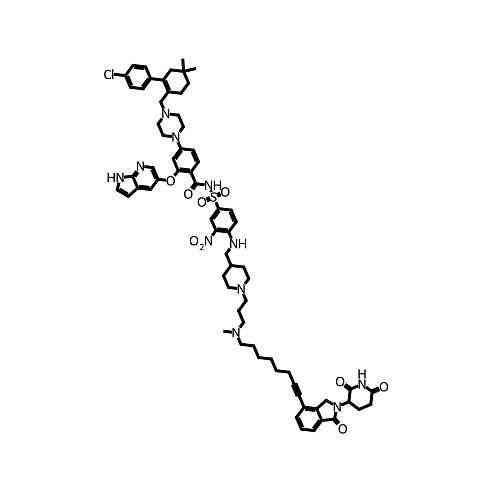 CN(CCCCCCC#Cc1cccc2c1CN(C1CCC(=O)NC1=O)C2=O)CCCN1CCC(CNc2ccc(S(=O)(=O)NC(=O)c3ccc(N4CCN(CC5=C(c6ccc(Cl)cc6)CC(C)(C)CC5)CC4)cc3Oc3cnc4[nH]ccc4c3)cc2[N+](=O)[O-])CC1